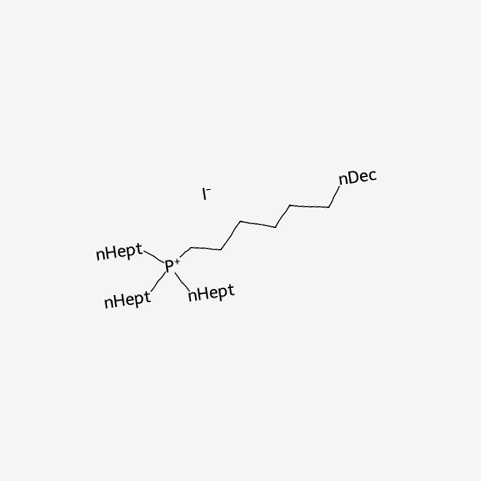 CCCCCCCCCCCCCCCC[P+](CCCCCCC)(CCCCCCC)CCCCCCC.[I-]